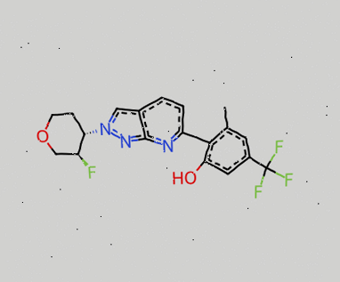 Cc1cc(C(F)(F)F)cc(O)c1-c1ccc2cn([C@H]3CCOC[C@@H]3F)nc2n1